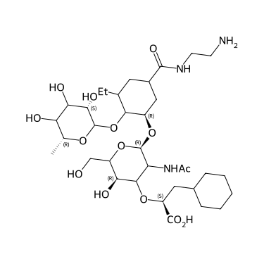 CCC1CC(C(=O)NCCN)C[C@@H](O[C@@H]2OC(CO)[C@H](O)C(O[C@@H](CC3CCCCC3)C(=O)O)C2NC(C)=O)C1OC1O[C@H](C)C(O)C(O)[C@@H]1O